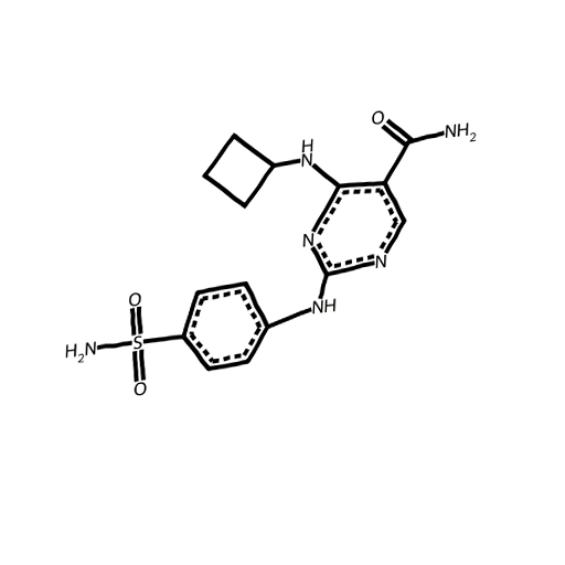 NC(=O)c1cnc(Nc2ccc(S(N)(=O)=O)cc2)nc1NC1CCC1